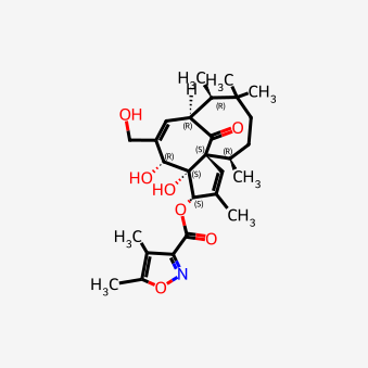 CC1=C[C@]23C(=O)[C@@H](C=C(CO)[C@@H](O)[C@]2(O)[C@H]1OC(=O)c1noc(C)c1C)[C@@H](C)C(C)(C)CC[C@H]3C